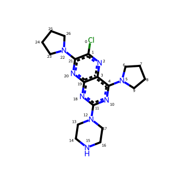 Clc1nc2c(N3CCCC3)nc(N3CCNCC3)nc2nc1N1CCCC1